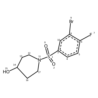 O=S(=O)(c1ccc(F)c(Br)c1)N1CCC(O)CC1